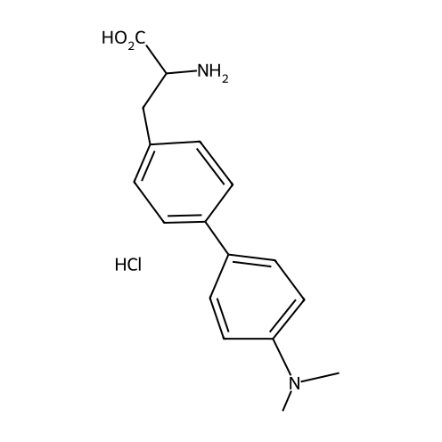 CN(C)c1ccc(-c2ccc(CC(N)C(=O)O)cc2)cc1.Cl